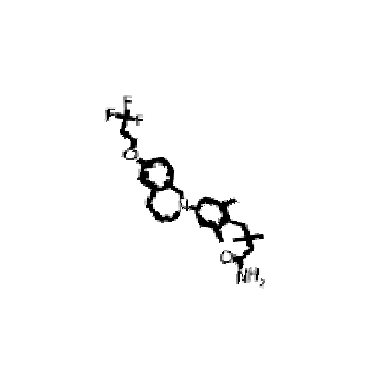 Cc1cc(N2CCCc3cc(OCCC(F)(F)F)ccc3C2)cc(C)c1CC(C)(C)CC(N)=O